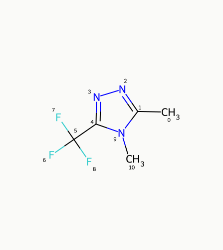 Cc1nnc(C(F)(F)F)n1C